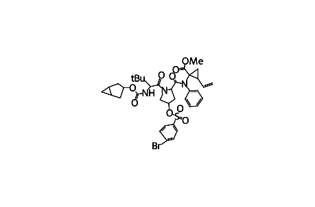 C=CC1CC1(C(=O)OC)N(C(=O)C1CC(OS(=O)(=O)c2ccc(Br)cc2)CN1C(=O)C(NC(=O)OC1CC2CC2C1)C(C)(C)C)c1ccccc1